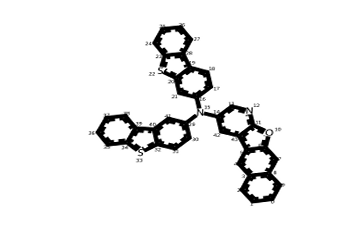 c1ccc2cc3c(cc2c1)oc1ncc(N(c2ccc4c(c2)sc2ccccc24)c2ccc4sc5ccccc5c4c2)cc13